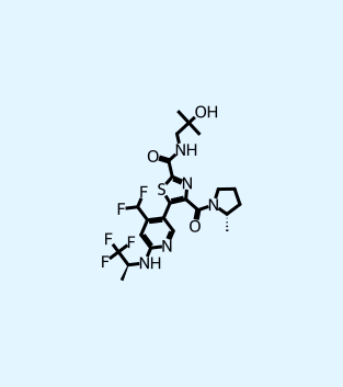 C[C@H](Nc1cc(C(F)F)c(-c2sc(C(=O)NCC(C)(C)O)nc2C(=O)N2CCC[C@@H]2C)cn1)C(F)(F)F